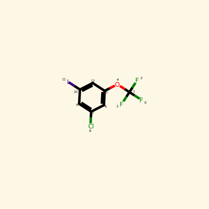 FC(F)(F)Oc1cc(Cl)cc(I)c1